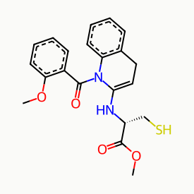 COC(=O)[C@@H](CS)NC1=CCc2ccccc2N1C(=O)c1ccccc1OC